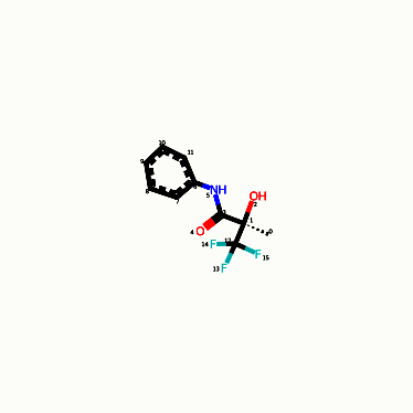 C[C@@](O)(C(=O)Nc1ccccc1)C(F)(F)F